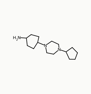 NC1CCC(N2CCN(C3CCCC3)CC2)CC1